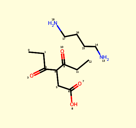 CCC(=O)C(CC(=O)O)C(=O)CC.NCCCCN